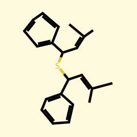 CC(C)=CC(SC(C=C(C)C)c1ccccc1)c1ccccc1